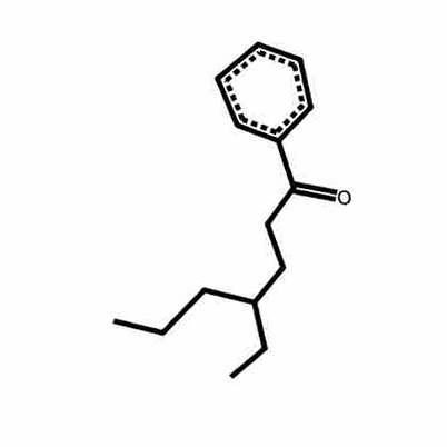 CCCC(CC)CCC(=O)c1ccccc1